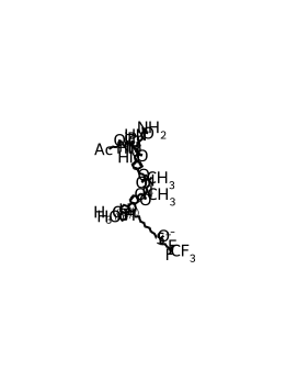 CC(=O)CCC(=O)N[C@H](C(=O)N[C@@H](CCCNC(N)=O)C(=O)Nc1ccc(COC(=O)N(C)CCN(C)C(=O)Oc2ccc3c(c2)C[C@@H](CCCCCCCCC[S+]([O-])CCCC(F)(F)C(F)(F)F)[C@@H]2C3CC[C@]3(C)[C@@H](O)CC[C@@H]23)cc1)C(C)C